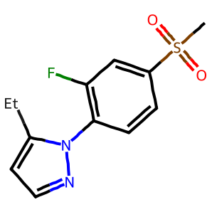 CCc1ccnn1-c1ccc(S(C)(=O)=O)cc1F